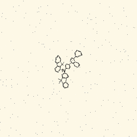 CC1(C)c2ccccc2-c2ccc(N(c3ccc(-c4ccc(-c5ccccc5)c5ccccc45)cc3)c3cccc4c3C(C)(C)c3ccccc3-4)cc21